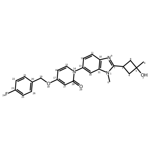 Cn1c(C2CC(C)(O)C2)nc2ccc(-n3ccc(OCc4ccc(F)cc4)cc3=O)cc21